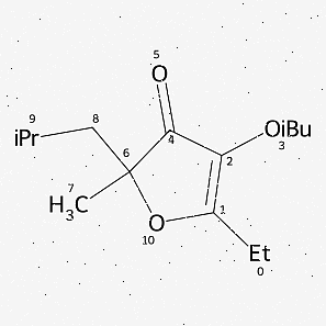 CCC1=C(OCC(C)C)C(=O)C(C)(CC(C)C)O1